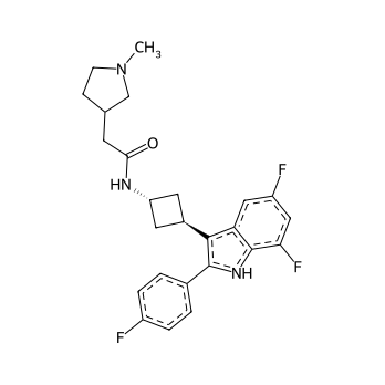 CN1CCC(CC(=O)N[C@H]2C[C@H](c3c(-c4ccc(F)cc4)[nH]c4c(F)cc(F)cc43)C2)C1